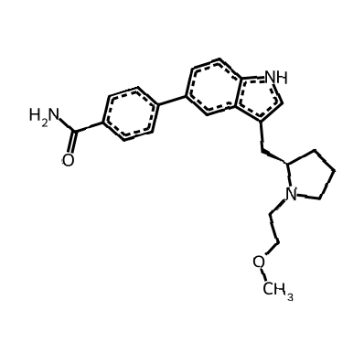 COCCN1CCC[C@@H]1Cc1c[nH]c2ccc(-c3ccc(C(N)=O)cc3)cc12